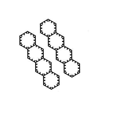 [Al+3].[Al+3].[O-2].[O-2].[O-2].c1ccc2cc3cc4ccccc4cc3cc2c1.c1ccc2cc3cc4ccccc4cc3cc2c1